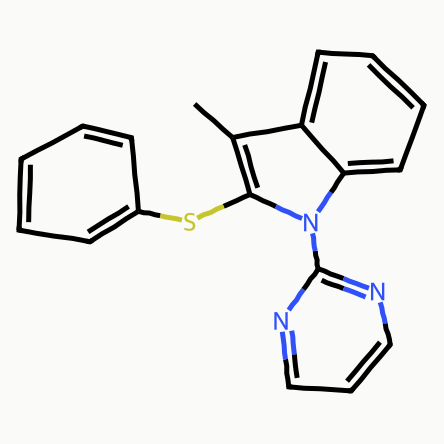 Cc1c(Sc2ccccc2)n(-c2ncccn2)c2ccccc12